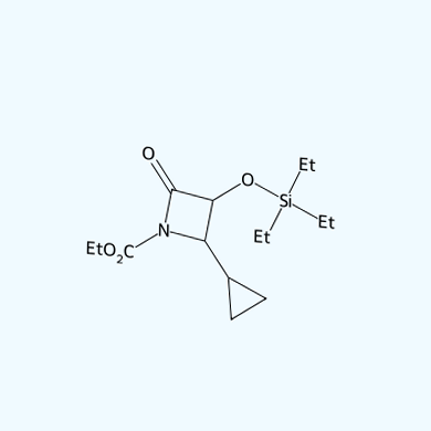 CCOC(=O)N1C(=O)C(O[Si](CC)(CC)CC)C1C1CC1